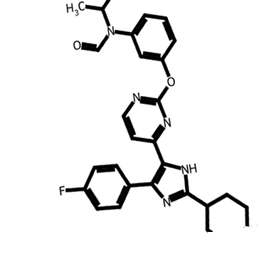 CC(C)N(C=O)c1cccc(Oc2nccc(-c3[nH]c(C4CCNCC4)nc3-c3ccc(F)cc3)n2)c1